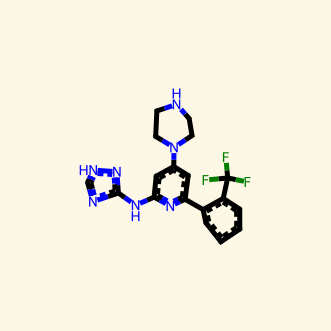 FC(F)(F)c1ccccc1-c1cc(N2CCNCC2)cc(Nc2nc[nH]n2)n1